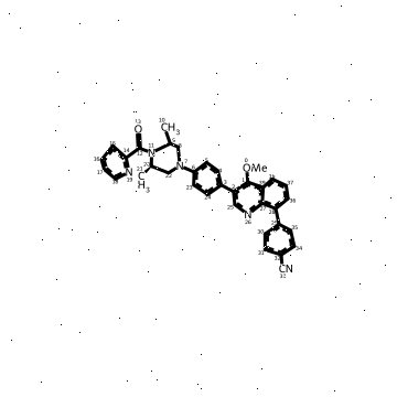 COc1c(-c2ccc(N3CC(C)N(C(=O)c4ccccn4)[C@H](C)C3)cc2)cnc2c(-c3ccc(C#N)cc3)cccc12